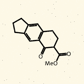 COC(=O)C1CCc2cc3c(cc2C1=O)CCC3